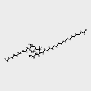 CCCCCCCCCCCCCCCCCCCCN(CC(O)CO)C(=O)CCC(C)CCCCCCCCCCCC